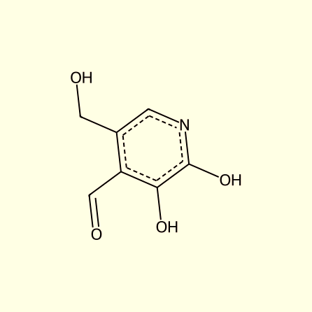 O=Cc1c(CO)cnc(O)c1O